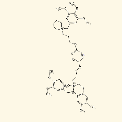 COc1ccc(C[C@@H]2c3cc(C)c(C)cc3CC[N@@+]2(C)CCCOC(=O)/C=C\C(=O)OCCC[N+]2(Cc3cc(OC)c(OC)c(OC)c3)CCCC2)cc1OC